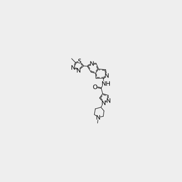 Cc1nnc(-c2cc3cc(NC(=O)c4cnn(C5CCN(C)CC5)c4)ncc3cn2)s1